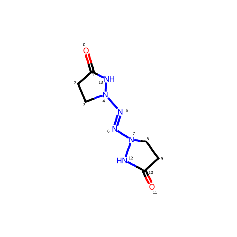 O=C1CCN(N=NN2CCC(=O)N2)N1